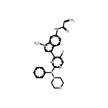 C=CC(=O)Nc1ccc2c(-c3nc(N(c4ccccc4)N4CCOCC4)ncc3F)cn(C)c2c1